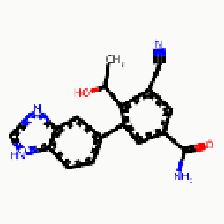 CC(O)c1c(C#N)cc(C(N)=O)cc1-c1ccc2[nH]cnc2c1